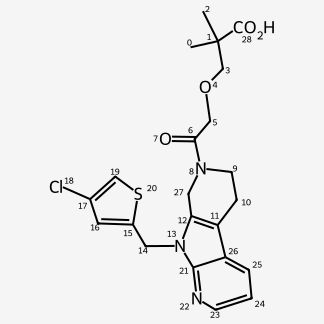 CC(C)(COCC(=O)N1CCc2c(n(Cc3cc(Cl)cs3)c3ncccc23)C1)C(=O)O